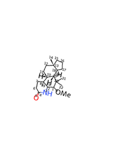 COC1C2NC(=O)CC[C@]2(C)[C@@H]2CC[C@]3(C)CCC[C@H]3[C@@H]2C1(C)C